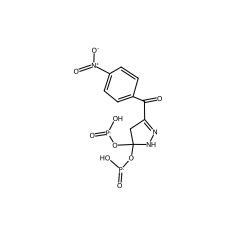 O=C(C1=NNC(O[P](=O)O)(O[P](=O)O)C1)c1ccc([N+](=O)[O-])cc1